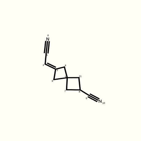 N#CC=C1CC2(C1)CC(C#N)C2